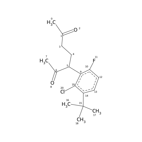 CC(=O)CCC(C(C)=O)c1c(F)ccc(C(C)(C)C)c1Cl